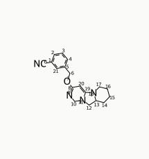 N#Cc1cccc(COC2=NCN3CC4CCCCN4C3=C2)c1